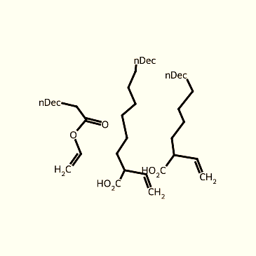 C=CC(CCCCCCCCCCCCCC)C(=O)O.C=CC(CCCCCCCCCCCCCCCC)C(=O)O.C=COC(=O)CCCCCCCCCCC